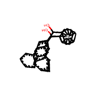 OC(c1ccc2ccccc2c1)[C]12[CH]3[CH]4[CH]5[CH]1[Fe]45321678[CH]2[CH]1[CH]6[C]7(C(O)c1ccc3ccccc3c1)[CH]28